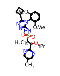 COc1cccc(OC)c1-n1c(NS(=O)(=O)[C@@H](C)[C@@H](OC(C)C)c2ncc(C)cn2)nnc1C1CCC1